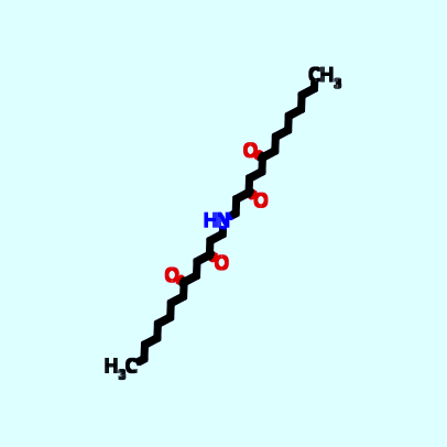 CCCCCCCCC(=O)CCC(=O)CCNCCC(=O)CCC(=O)CCCCCCCC